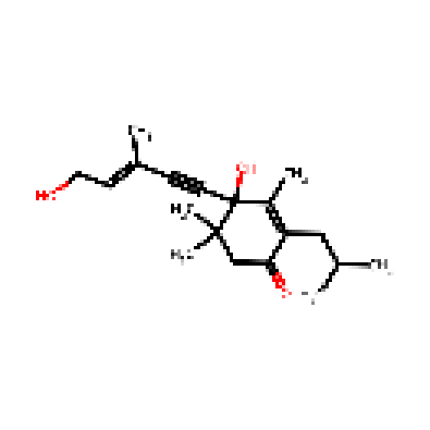 CC(C#CC1(O)C(C)=C(CC(C)C)C(=O)CC1(C)C)=CCO